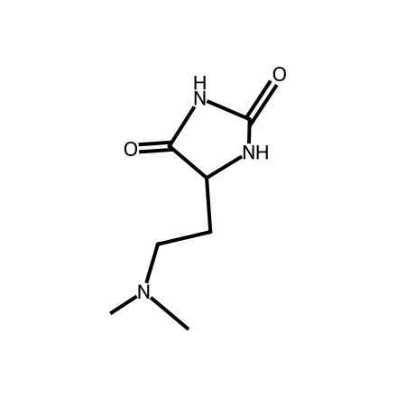 CN(C)CCC1NC(=O)NC1=O